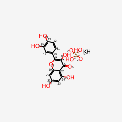 O=S(=O)(O)O.O=c1c(O)c(-c2ccc(O)c(O)c2)oc2cc(O)cc(O)c12.[KH]